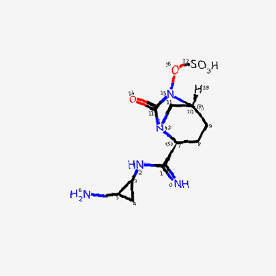 N=C(NC1CC1N)[C@@H]1CC[C@@H]2CN1C(=O)N2OS(=O)(=O)O